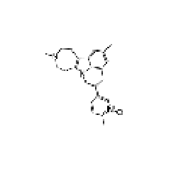 Cc1cc2c3c(c1)c1c(n3CC(c3ccc(C)[n+]([O-])c3)C2)CCN(C)CC1